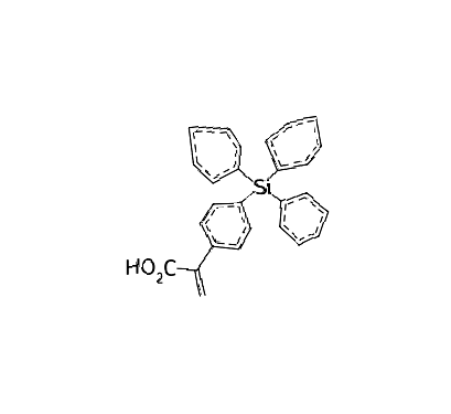 C=C(C(=O)O)c1ccc([Si](c2ccccc2)(c2ccccc2)c2ccccc2)cc1